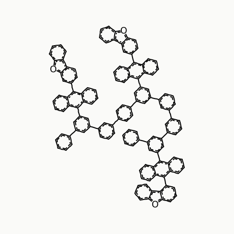 c1ccc(-c2cc(-c3cccc(-c4ccc(-c5cc(-c6cccc(-c7cccc(-c8cc(-c9ccccc9)cc(-c9c%10ccccc%10c(-c%10cccc%11oc%12ccccc%12c%10%11)c%10ccccc9%10)c8)c7)c6)cc(-c6c7ccccc7c(-c7ccc8oc9ccccc9c8c7)c7ccccc67)c5)cc4)c3)cc(-c3c4ccccc4c(-c4ccc5c(c4)oc4ccccc45)c4ccccc34)c2)cc1